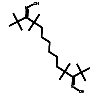 CC(C)(C)C(=NO)C(C)(C)CCCCCCC(C)(C)C(=NO)C(C)(C)C